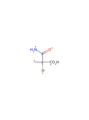 CC(Br)(C(N)=O)C(=O)O